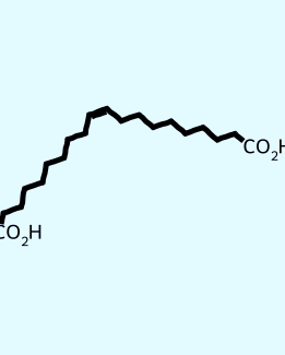 O=C(O)CCCCCCCC/C=C\CCCCCCCCC(=O)O